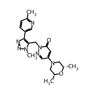 Cc1ccc(-c2nnn(C)c2Cn2ncc(N3C[C@H](C)O[C@@H](C)C3)cc2=O)cn1